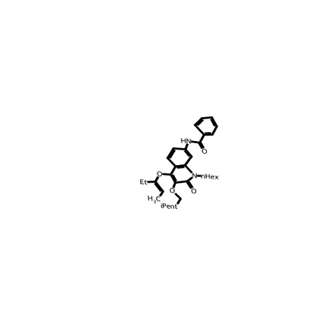 CC=C(CC)Oc1c(OCC(C)CCC)c(=O)n(CCCCCC)c2cc(NC(=O)c3ccccc3)ccc12